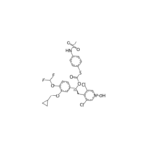 CS(=O)(=O)Nc1ccc(SC(=O)O[C@@H](Cc2c(Cl)c[n+](O)cc2Cl)c2ccc(OC(F)F)c(OCC3CC3)c2)cc1